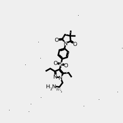 CCc1nn(C[C@H](C)N)c(CC)c1S(=O)(=O)c1ccc(N2C(=O)CC(C)(C)C2=O)cc1